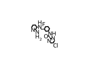 Nc1ncccc1NCc1cc(NC(=O)c2ncc(Cl)cn2)ccc1F